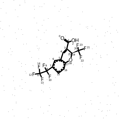 O=C(O)C1=Cc2cc(C(F)(F)C(F)(F)F)ccc2O[C@@H]1C(F)(F)F